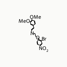 COc1ccc(C=CN(C)CCOc2ccc([N+](=O)[O-])cc2Br)cc1OC